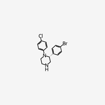 Clc1ccc(N2CCNC[C@H]2c2ccc(Br)cc2)cc1